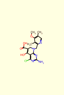 COc1c(C)cnc(CN2CC(C(=O)O)=C(O)c3c(Cl)nc(N)nc32)c1C